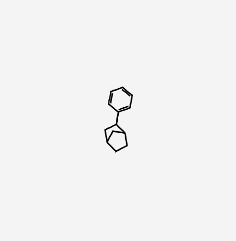 [CH]1CC2CC1CC2c1ccccc1